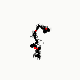 CN(CCN1CCC(N(C(=O)O)c2ccccc2-c2ccccc2)CC1)C(=O)CCCCCNc1ccc(NC(=O)CCCN(C)C(=O)CO[C@H]2Cc3ccccc3C23CCN(CC[C@@]2(c4ccc(F)cc4)CN(C(=O)c4cc(C(F)(F)F)cc(C(F)(F)F)c4)CO2)CC3)cc1